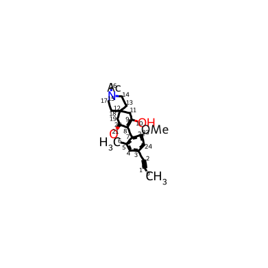 CC#Cc1cc(C)c(C2=C(O)CC3(CCN(C(C)=O)CC3)CC2=O)c(OC)c1